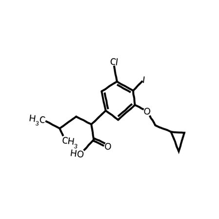 CC(C)CC(C(=O)O)c1cc(Cl)c(I)c(OCC2CC2)c1